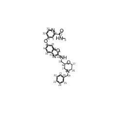 CNC(=O)c1cc(Oc2ccc3nc(NCC4CN(Cc5ccccc5)CCO4)oc3c2)ccn1